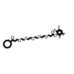 O=C(CCOCCOCCOCCOCCOCCC(=O)C1CCCCCCCC1)Oc1c(F)c(F)cc(F)c1F